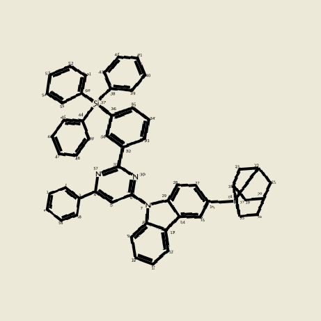 c1ccc(-c2cc(-n3c4ccccc4c4cc(N5C6CC7CC(C6)CC5C7)ccc43)nc(-c3cccc([Si](c4ccccc4)(c4ccccc4)c4ccccc4)c3)n2)cc1